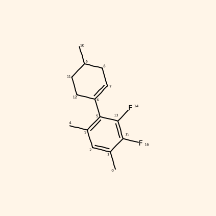 Cc1cc(C)c(C2=CCC(C)CC2)c(F)c1F